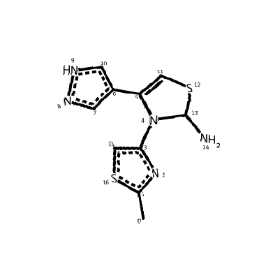 Cc1nc(N2C(c3cn[nH]c3)=CSC2N)cs1